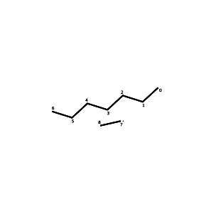 CCCCCCC.[CH2]C